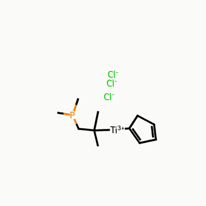 CP(C)C[C](C)(C)[Ti+3][C]1=CC=CC1.[Cl-].[Cl-].[Cl-]